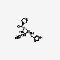 Cl.Cl.Cl.O=C([C@@H]1C[C@H](NCc2c[nH]cn2)CN1)N1CCSC1